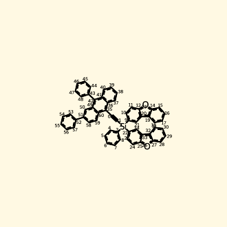 C(#C[Si](c1ccccc1)(c1ccc2oc3ccccc3c2c1)c1ccc2oc3ccccc3c2c1)c1c2ccccc2c(-c2ccccc2)c2cc(-c3ccccc3)ccc12